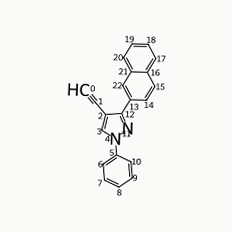 C#Cc1cn(-c2ccccc2)nc1-c1ccc2ccccc2c1